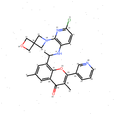 Cc1cc(C(C)Nc2ccc(Cl)nc2N2CC3(COC3)C2)c2oc(-c3cccnc3)c(C)c(=O)c2c1